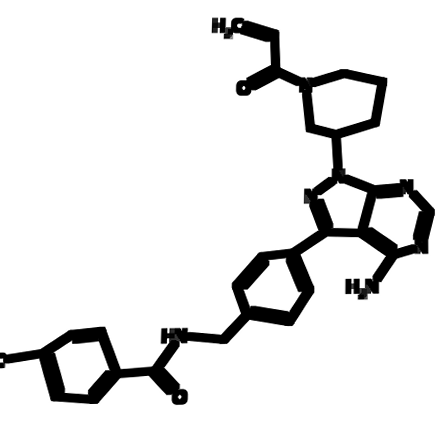 C=CC(=O)N1CCCC(n2nc(-c3ccc(CNC(=O)c4ccc(C#N)cc4)cc3)c3c(N)ncnc32)C1